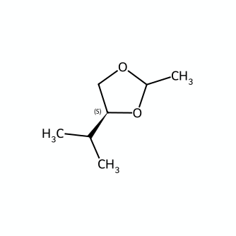 CC1OC[C@H](C(C)C)O1